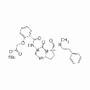 CC(C)C[C@@H](NC(=O)c1ccccc1OCC(=O)OC(C)(C)C)C(=O)N1CCC[C@@H]1C(=O)N(C)CCc1ccccc1